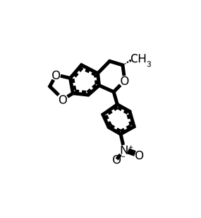 C[C@H]1Cc2cc3c(cc2C(c2ccc([N+](=O)[O-])cc2)O1)OCO3